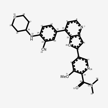 COc1cc(-c2cc3nccc(-c4ccc(NC5CCOCC5)c(C#N)c4)c3o2)cnc1C(=O)N(C)C